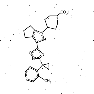 Cc1ccccc1C1(c2noc(-c3nn(C4CCC(C(=O)O)CC4)c4c3CCC4)n2)CC1